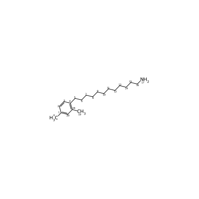 Cc1ccc(CCCCCCCCCCCCN)c(C)c1